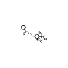 O=P(O)(O)C(F)(F)c1ccc(CSCC[S+]([O-])c2ccccc2)cc1Br